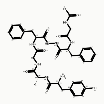 CCC(=O)NCC(=O)N[C@@H](Cc1ccccc1)C(=O)NNC(=O)C(Cc1ccccc1)NC(=O)CNC(=O)[C@@H](C)NC(=O)[C@@H](N)Cc1ccc(O)cc1